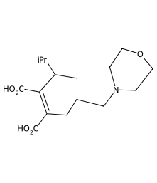 CC(C)C(C)C(C(=O)O)=C(CCCN1CCOCC1)C(=O)O